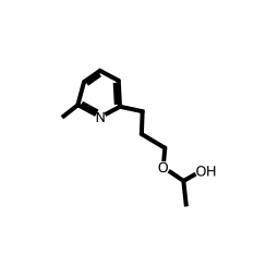 Cc1cccc(CCCOC(C)O)n1